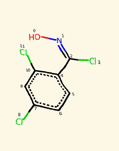 O/N=C(/Cl)c1ccc(Cl)cc1Cl